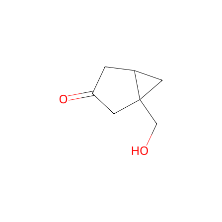 O=C1CC2CC2(CO)C1